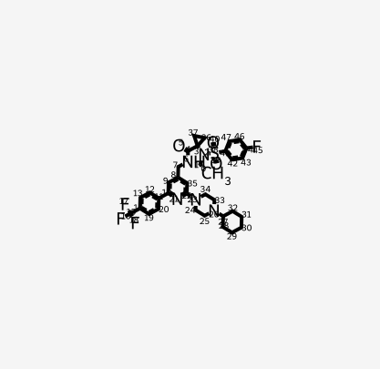 CCN(C1(C(=O)NCc2cc(-c3ccc(C(F)(F)F)cc3)nc(N3CCN(C4CCCCC4)CC3)c2)CC1)S(=O)(=O)c1ccc(F)cc1